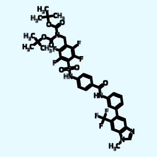 Cn1cnc2cc(-c3cccc(NC(=O)c4ccc(NS(=O)(=O)c5c(F)c(F)c(CN(C(=O)OC(C)(C)C)C(=O)OC(C)(C)C)c(F)c5F)cc4)c3)c(C(F)(F)F)cc21